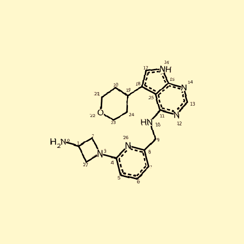 NC1CN(c2cccc(CNc3ncnc4[nH]cc(C5CCOCC5)c34)n2)C1